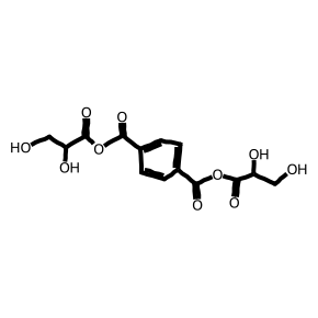 O=C(OC(=O)C(O)CO)c1ccc(C(=O)OC(=O)C(O)CO)cc1